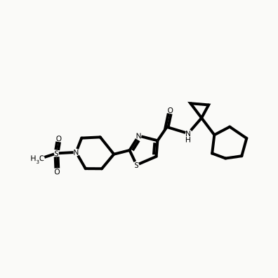 CS(=O)(=O)N1CCC(c2nc(C(=O)NC3(C4CCCCC4)CC3)cs2)CC1